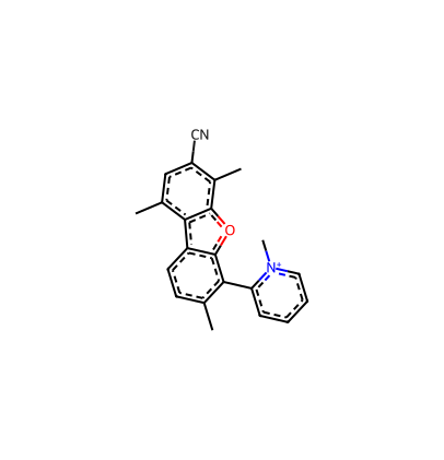 Cc1ccc2c(oc3c(C)c(C#N)cc(C)c32)c1-c1cccc[n+]1C